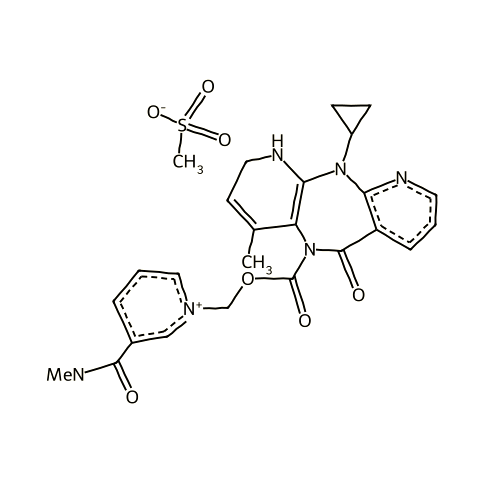 CNC(=O)c1ccc[n+](COC(=O)N2C(=O)c3cccnc3N(C3CC3)C3=C2C(C)=CCN3)c1.CS(=O)(=O)[O-]